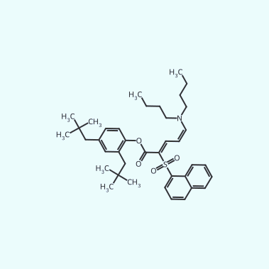 CCCCN(/C=C\C=C(\C(=O)Oc1ccc(CC(C)(C)C)cc1CC(C)(C)C)S(=O)(=O)c1cccc2ccccc12)CCCC